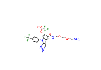 Cn1cc2c3cc(C(=O)NCCOCCOCCN)ccc3n(-c3ccc(C(F)(F)F)cc3)c2n1.O=C(O)C(F)(F)F